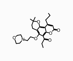 CCCc1cc(=O)oc2c(C(=O)CC)c(OCCN3CCOCC3)c3c(c12)OC(C)(C)CC3